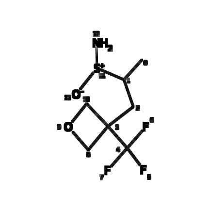 CC(CC1(C(F)(F)F)COC1)[S+](N)[O-]